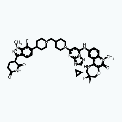 Cn1nc(C2CCC(=O)NC2=O)c2ccc(C3CCN(CC4CCN(c5cc(Nc6ccc7c(c6)c6c(c(=O)n7C)OCC(F)(F)[C@H](C7CC7)N6)n6ncnc6n5)CC4)CC3)c(F)c21